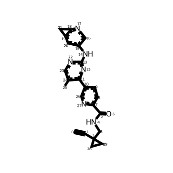 C#CC1(CNC(=O)c2ccc(-c3nc(Nc4cnc5c(c4)C5)ncc3C)cn2)CC1